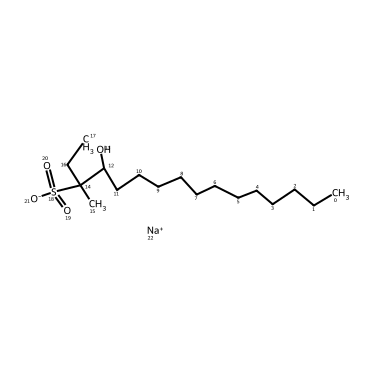 CCCCCCCCCCCCC(O)C(C)(CC)S(=O)(=O)[O-].[Na+]